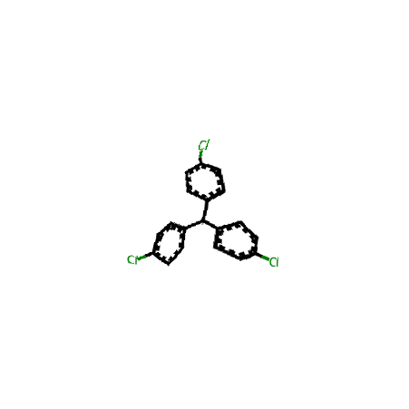 Clc1ccc([C](c2ccc(Cl)cc2)c2ccc(Cl)cc2)cc1